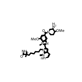 C=Nc1c(/C=C\CCC)cc(-c2nc3cc(C(=O)N4CCC(OC)C(N)C4)cc(OC)c3n2C)n1CCCCCCC(C)(C)C(N)=O